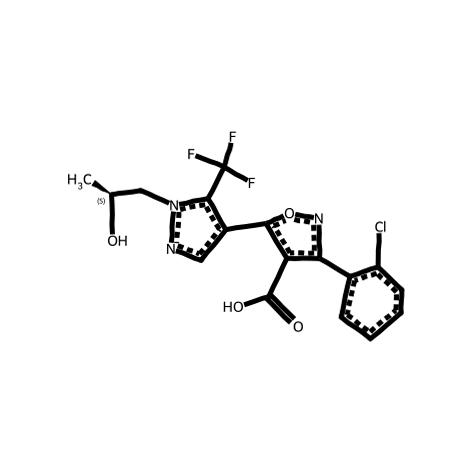 C[C@H](O)Cn1ncc(-c2onc(-c3ccccc3Cl)c2C(=O)O)c1C(F)(F)F